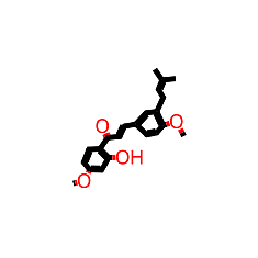 COc1ccc(C(=O)C=Cc2ccc(OC)c(CC=C(C)C)c2)c(O)c1